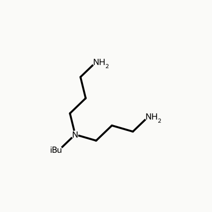 CCC(C)N(CCCN)CCCN